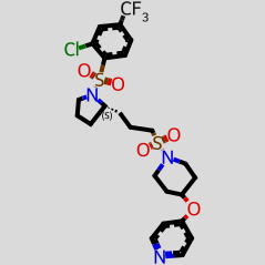 O=S(=O)(CCC[C@@H]1CCCN1S(=O)(=O)c1ccc(C(F)(F)F)cc1Cl)N1CCC(Oc2ccncc2)CC1